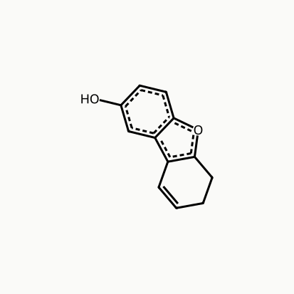 Oc1ccc2oc3c(c2c1)C=CCC3